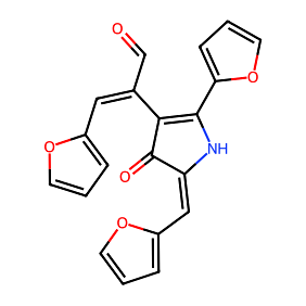 O=C/C(=C/c1ccco1)C1=C(c2ccco2)N/C(=C/c2ccco2)C1=O